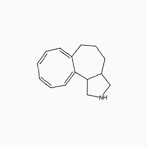 C1=C\C=C2\CCCC3CNCC3\C2=C\C=C/1